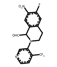 O=CC1c2cc([N+](=O)[O-])c(F)cc2CCN1c1cnccc1C(F)(F)F